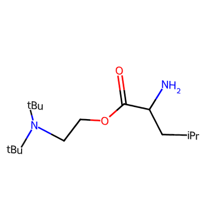 CC(C)CC(N)C(=O)OCCN(C(C)(C)C)C(C)(C)C